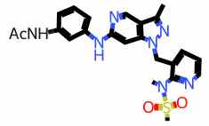 CC(=O)Nc1cccc(Nc2cc3c(cn2)c(C)nn3Cc2cccnc2N(C)S(C)(=O)=O)c1